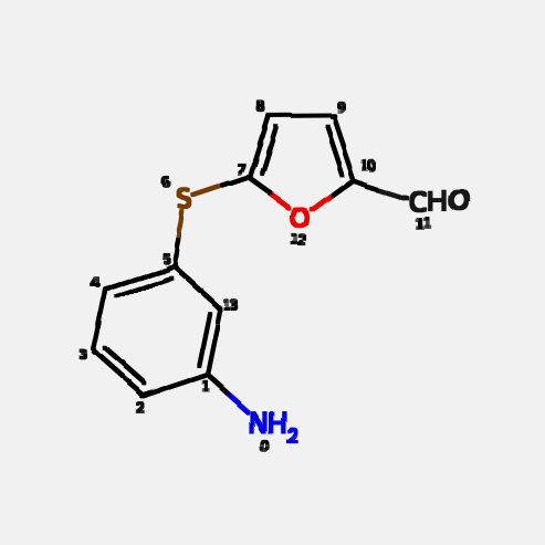 Nc1cccc(Sc2ccc(C=O)o2)c1